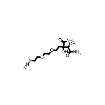 [N-]=[N+]=NCCOCCOCCC(O)(C(N)=O)C(O)C(N)=O